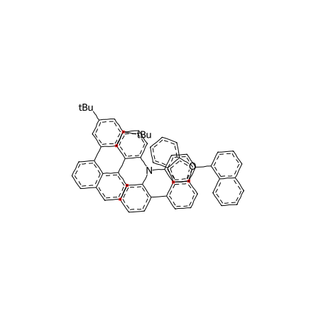 CC(C)(C)c1cc(-c2cccc3cccc(-c4ccccc4N(c4ccc(-c5cccc6ccccc56)cc4)c4ccccc4-c4cccc5oc6ccccc6c45)c23)cc(C(C)(C)C)c1